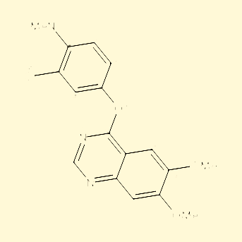 CNc1ccc(Oc2ncnc3cc(OC)c(OC)cc23)cc1Cl